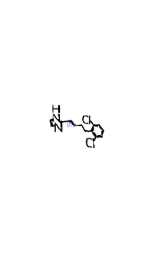 Clc1cccc(Cl)c1CC/C=C/c1ncc[nH]1